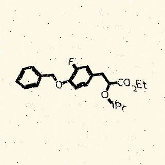 CCOC(=O)C(Cc1ccc(OCc2ccccc2)c(F)c1)OC(C)C